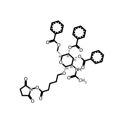 CC(=O)N[C@H]1[C@H](OCCCCC(=O)ON2C(=O)CCC2=O)O[C@H](COC(=O)c2ccccc2)[C@H](OC(=O)c2ccccc2)[C@@H]1OC(=O)c1ccccc1